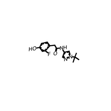 CC(C)(C)n1cc(NC(=O)Cc2ccc(O)cc2F)cn1